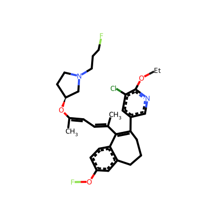 CCOc1ncc(C2=C(/C(C)=C/C=C(\C)O[C@H]3CCN(CCCF)C3)c3ccc(OF)cc3CCC2)cc1Cl